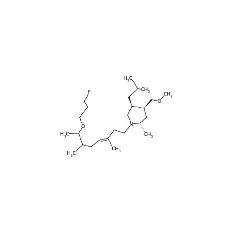 COC[C@H]1C[C@H](C)N(CC/C(C)=C/CC(C)C(C)OCCCF)C[C@H]1CC(C)C